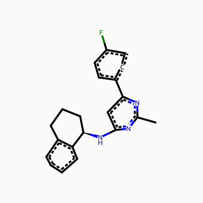 Cc1nc(N[C@@H]2CCCc3ccccc32)cc(-c2ccc(F)cc2)n1